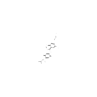 COCCOc1cc2ncnc(NC3=CC(=O)C(N(C)CC(C)C)=CC3=O)c2cc1OC